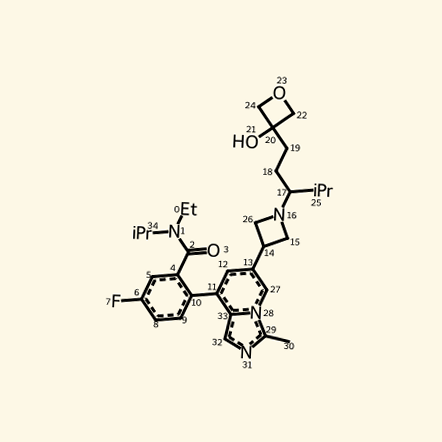 CCN(C(=O)c1cc(F)ccc1-c1cc(C2CN(C(CCC3(O)COC3)C(C)C)C2)cn2c(C)ncc12)C(C)C